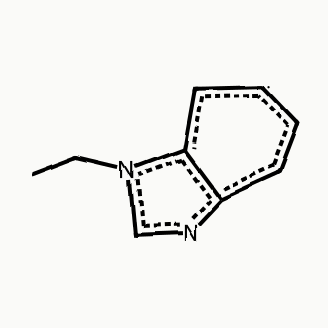 CCn1cnc2cc[c]cc21